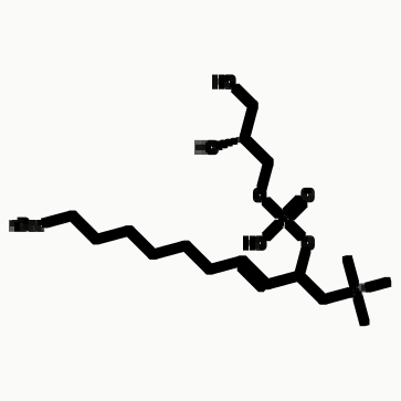 CCCCCCCCCCCCCCCCC=CC(C[N+](C)(C)C)OP(=O)(O)OC[C@H](O)CO